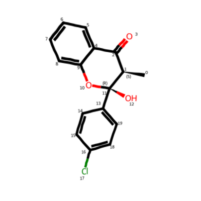 C[C@@H]1C(=O)c2ccccc2O[C@@]1(O)c1ccc(Cl)cc1